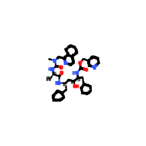 CC(C)[C@H](NC(=O)N(C)Cc1nccc2ccccc12)C(=O)N[C@@H](Cc1ccccc1)C[C@H](O)[C@H](Cc1ccccc1)NC(=O)OCc1cccnc1